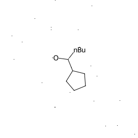 CCCCC([O])C1CCCC1